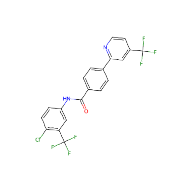 O=C(Nc1ccc(Cl)c(C(F)(F)F)c1)c1ccc(-c2cc(C(F)(F)F)ccn2)cc1